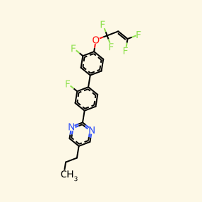 CCCc1cnc(-c2ccc(-c3ccc(OC(F)(F)C=C(F)F)c(F)c3)c(F)c2)nc1